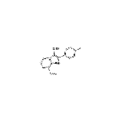 COc1cccc2c(C=O)c(-c3ccc(F)cc3)[nH]c12